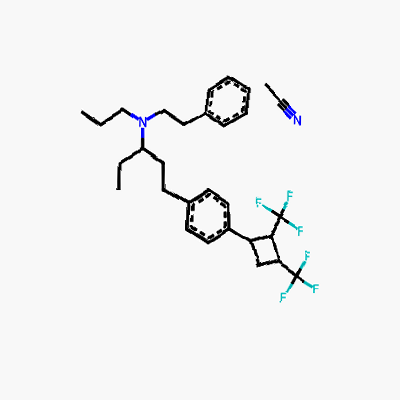 CC#N.CCCN(CCc1ccccc1)C(CC)CCc1ccc(C2CC(C(F)(F)F)C2C(F)(F)F)cc1